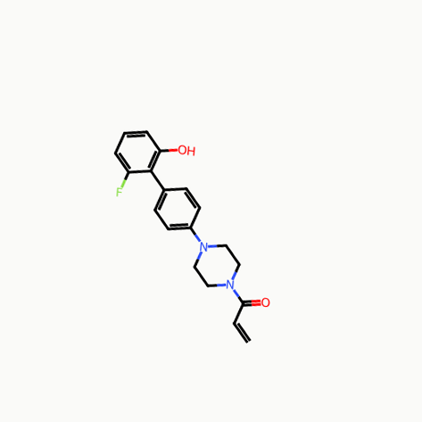 C=CC(=O)N1CCN(c2ccc(-c3c(O)cccc3F)cc2)CC1